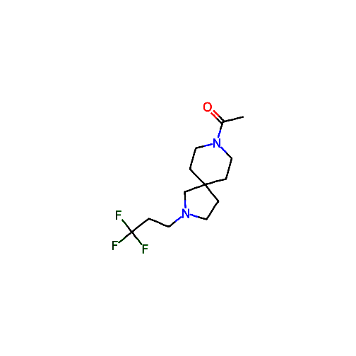 CC(=O)N1CCC2(CCN(CCC(F)(F)F)C2)CC1